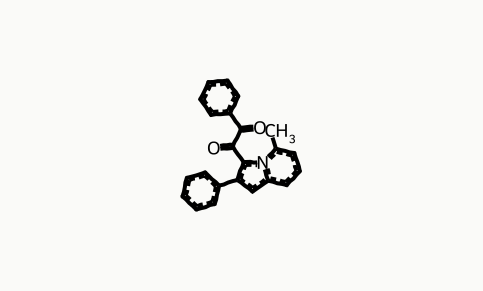 Cc1cccc2cc(-c3ccccc3)c(C(=O)C(=O)c3ccccc3)n12